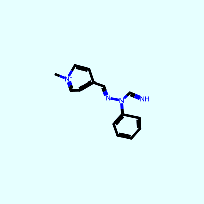 C[n+]1ccc(C=NN(C=N)c2ccccc2)cc1